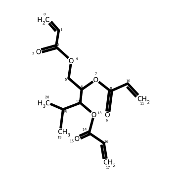 C=CC(=O)OCC(OC(=O)C=C)C(OC(=O)C=C)C(C)C